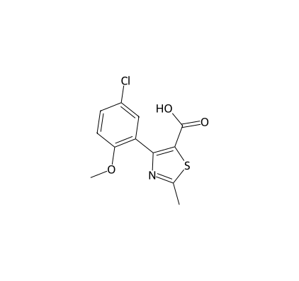 COc1ccc(Cl)cc1-c1nc(C)sc1C(=O)O